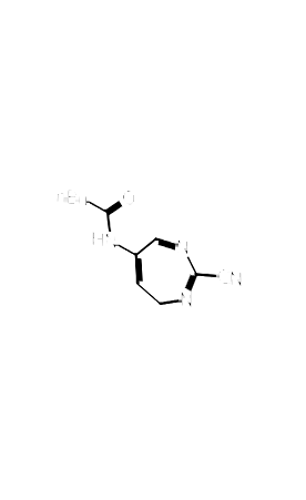 CCCCC(=O)NC1=CCN=C(C#N)N=C1